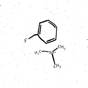 [CH3][Sn+]([CH3])[CH3].[S-]c1ccccc1